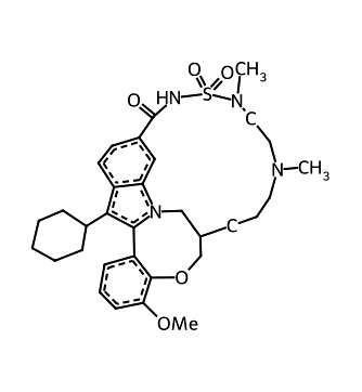 COc1cccc2c1OCC1CCCN(C)CCN(C)S(=O)(=O)NC(=O)c3ccc4c(C5CCCCC5)c-2n(c4c3)C1